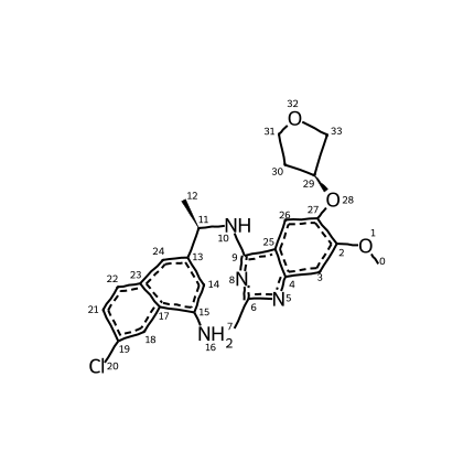 COc1cc2nc(C)nc(N[C@H](C)c3cc(N)c4cc(Cl)ccc4c3)c2cc1O[C@H]1CCOC1